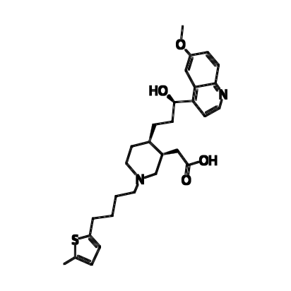 COc1ccc2nccc([C@H](O)CC[C@@H]3CCN(CCCCc4ccc(C)s4)C[C@@H]3CC(=O)O)c2c1